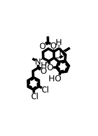 CC(=O)O[C@@]12CC[C@@H](N(C)C(=O)Cc3ccc(Cl)c(Cl)c3)[C@@H]3Oc4c(O)ccc5c4[C@@]31CCN(C)[C@@H]2C5